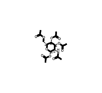 CC(=O)N[C@@H]1[C@H](OC(C)=O)O[C@H](COC(C)=O)[C@H](OC(C)=O)[C@@H]1OC(C)=O